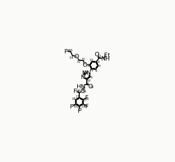 CCNC(=O)c1ccc(-n2cc(C(=O)NOC(F)c3cc(F)c(F)c(F)c3F)nn2)c(OCCOCCF)c1